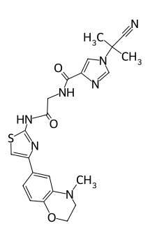 CN1CCOc2ccc(-c3csc(NC(=O)CNC(=O)c4cn(C(C)(C)C#N)cn4)n3)cc21